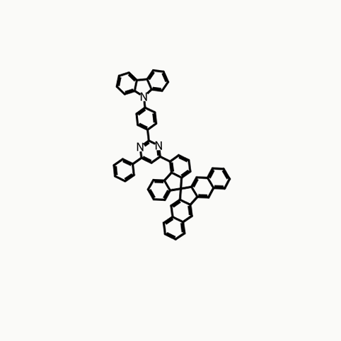 c1ccc(-c2cc(-c3cccc4c3-c3ccccc3C43c4cc5ccccc5cc4-c4cc5ccccc5cc43)nc(-c3ccc(-n4c5ccccc5c5ccccc54)cc3)n2)cc1